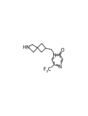 O=c1cnc(C(F)(F)F)cn1CC1CC2(CNC2)C1